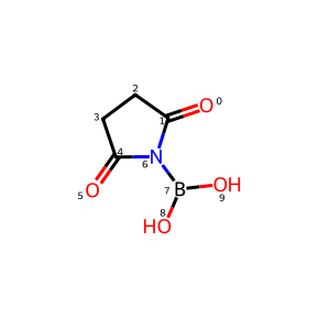 O=C1CCC(=O)N1B(O)O